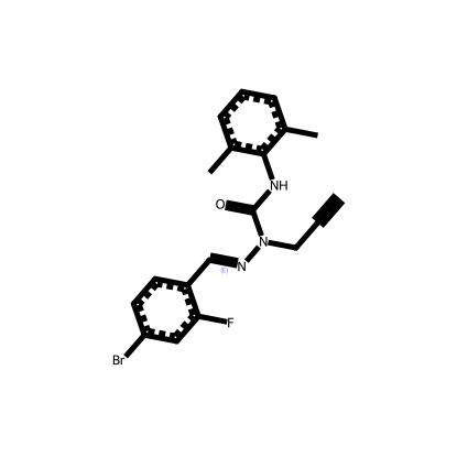 C#CCN(/N=C/c1ccc(Br)cc1F)C(=O)Nc1c(C)cccc1C